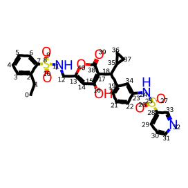 CCc1ccccc1S(=O)(=O)NCc1cc(O)c(C(c2cccc(NS(=O)(=O)c3cccnc3)c2)C2CC2)c(=O)o1